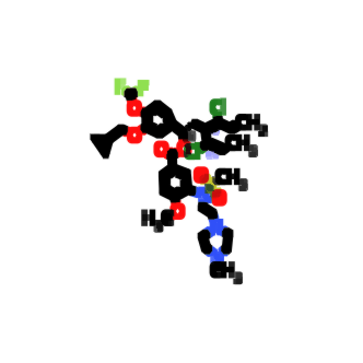 C=C/C(Cl)=C(C[C@H](OC(=O)c1ccc(OC)c(N(CCN2CCN(C)CC2)S(C)(=O)=O)c1)c1ccc(OC(F)F)c(OCC2CC2)c1)\C(Cl)=C/C